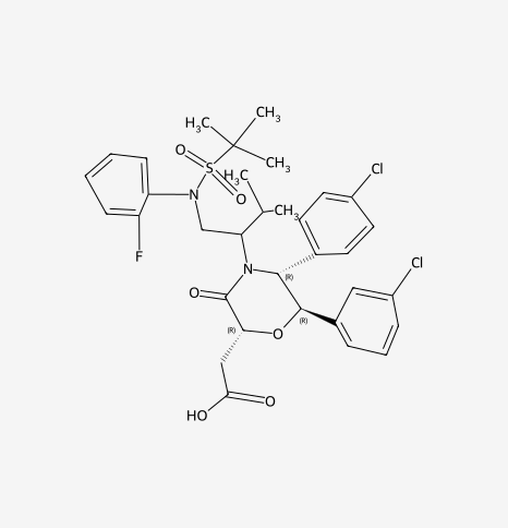 CC(C)C(CN(c1ccccc1F)S(=O)(=O)C(C)(C)C)N1C(=O)[C@@H](CC(=O)O)O[C@H](c2cccc(Cl)c2)[C@H]1c1ccc(Cl)cc1